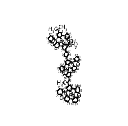 CC(C)c1cc2c3c(c1)N1c4ccccc4Oc4cccc(c41)B3N1c3ccc(-c4ccc(-c5cc6c7c(c5)N5c8ccccc8Oc8cccc(c85)B7N5c7ccc(CC(C)c8cc9c%10c(c8)N8c%11ccccc%11Oc%11cccc(c%118)B%10N8c%10ccccc%10Oc%10cccc-9c%108)cc7Sc7cccc-6c75)cc4)cc3[Si](C)(C)c3cccc-2c31